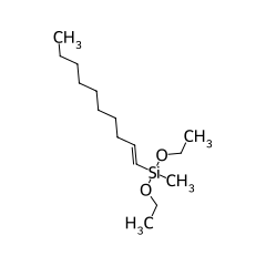 CCCCCCCC/C=C/[Si](C)(OCC)OCC